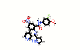 COc1ccc(N(C)C(=O)c2cc([N+](=O)[O-])cc(-c3ccncc3)c2/N=C/C2CCCN2)cc1F